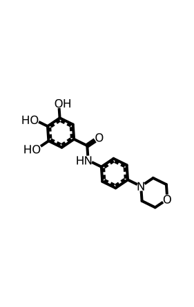 O=C(Nc1ccc(N2CCOCC2)cc1)c1cc(O)c(O)c(O)c1